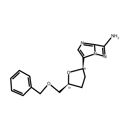 NC1=Nn2c([C@H]3CC[C@@H](COCc4ccccc4)O3)cnc21